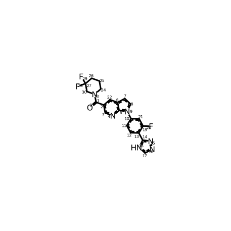 O=C(c1cnc2c(ccn2-c2ccc(-c3nnc[nH]3)c(F)c2)c1)N1CCCC(F)(F)C1